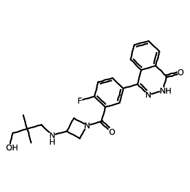 CC(C)(CO)CNC1CN(C(=O)c2cc(-c3n[nH]c(=O)c4ccccc34)ccc2F)C1